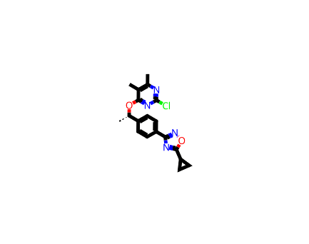 Cc1nc(Cl)nc(O[C@@H](C)c2ccc(-c3noc(C4CC4)n3)cc2)c1C